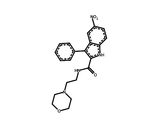 O=C(NCCN1CCOCC1)c1[nH]c2ccc([N+](=O)[O-])cc2c1-c1ccccc1